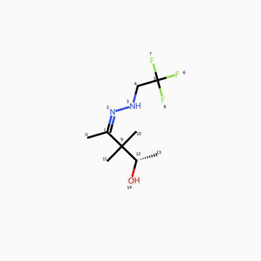 C/C(=N/NCC(F)(F)F)C(C)(C)[C@H](C)O